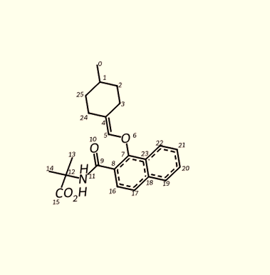 CC1CCC(=COc2c(C(=O)NC(C)(C)C(=O)O)ccc3ccccc23)CC1